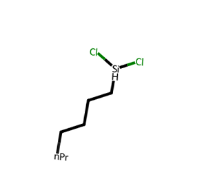 CCCCCCC[SiH](Cl)Cl